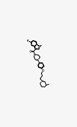 CC1CCCN(CCCOc2ccc(N3CCN(C(=O)c4cn(C)c5ccc(F)cc45)CC3)cc2)C1